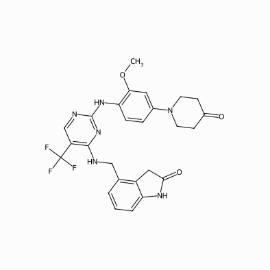 COc1cc(N2CCC(=O)CC2)ccc1Nc1ncc(C(F)(F)F)c(NCc2cccc3c2CC(=O)N3)n1